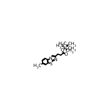 Cc1ccc2c(c1)sc1nc(CCC(=O)O[Si](C)(C)C(C)(C)C)cn12